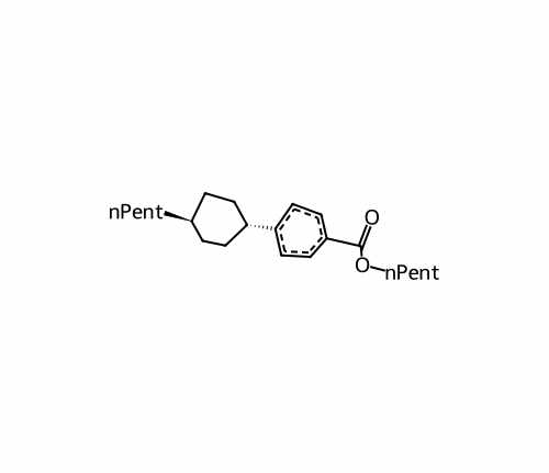 CCCCCOC(=O)c1ccc([C@H]2CC[C@H](CCCCC)CC2)cc1